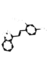 N#Cc1ccc(C=Cc2noc3ccccc23)c(C(=O)O)c1